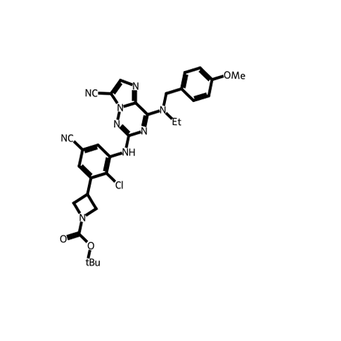 CCN(Cc1ccc(OC)cc1)c1nc(Nc2cc(C#N)cc(C3CN(C(=O)OC(C)(C)C)C3)c2Cl)nn2c(C#N)cnc12